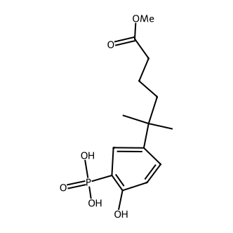 COC(=O)CCCC(C)(C)c1ccc(O)c(P(=O)(O)O)c1